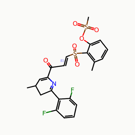 Cc1cccc(OS(C)(=O)=O)c1S(=O)(=O)/C=C/C(=O)C1=CC(C)CC(c2c(F)cccc2F)=N1